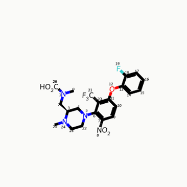 CN(C[C@H]1CN(c2c([N+](=O)[O-])ccc(Oc3ccccc3F)c2C(F)(F)F)CCN1C)C(=O)O